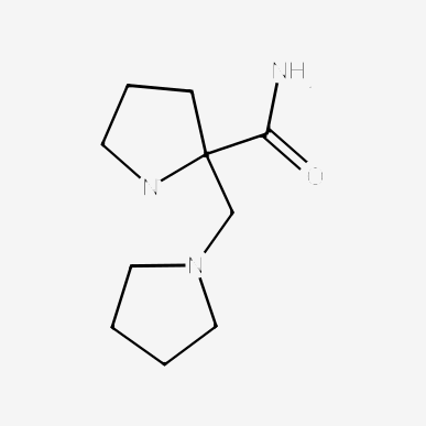 NC(=O)C1(CN2CCCC2)CCC[N]1